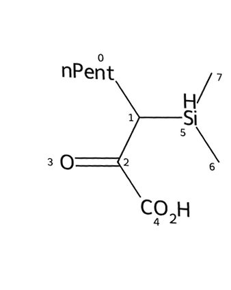 CCCCCC(C(=O)C(=O)O)[SiH](C)C